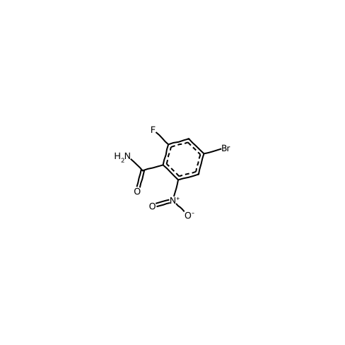 NC(=O)c1c(F)cc(Br)cc1[N+](=O)[O-]